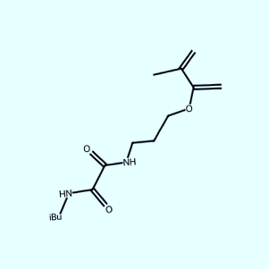 C=C(C)C(=C)OCCCNC(=O)C(=O)NC(C)CC